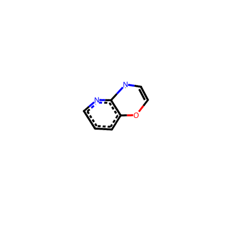 C1=COc2cccnc2[N]1